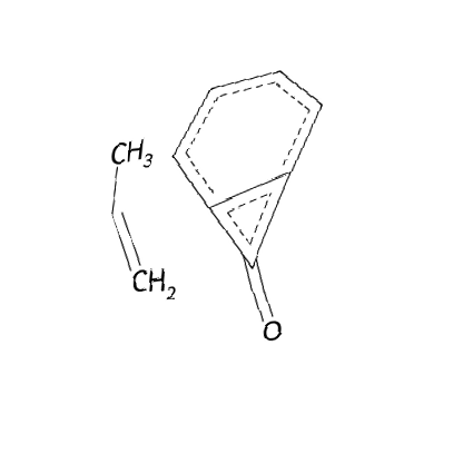 C=CC.O=c1c2ccccc12